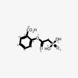 O=C(CP(=O)(O)O)Oc1ccccc1C(=O)O